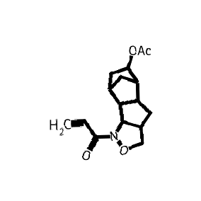 C=CC(=O)N1OCC2CC3C4CC(CC4OC(C)=O)C3C21